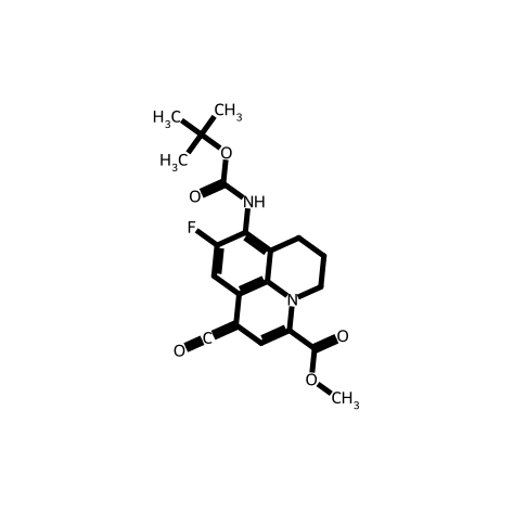 COC(=O)C1=CC(=C=O)c2cc(F)c(NC(=O)OC(C)(C)C)c3c2N1CCC3